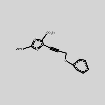 CCOC(=O)c1nc(NC(C)=O)sc1C#CCOc1ccccc1